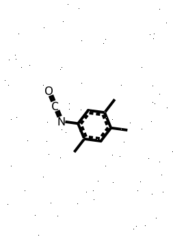 Cc1cc(C)c(N=C=O)cc1C